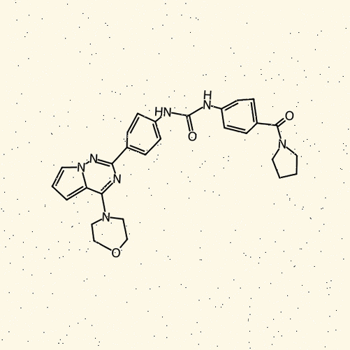 O=C(Nc1ccc(C(=O)N2CCCC2)cc1)Nc1ccc(-c2nc(N3CCOCC3)c3cccn3n2)cc1